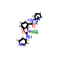 Cl.Cl.O=C(N[C@@H]1CC2CCN1CC2)c1cccc2oc(Nc3ccncc3)nc12